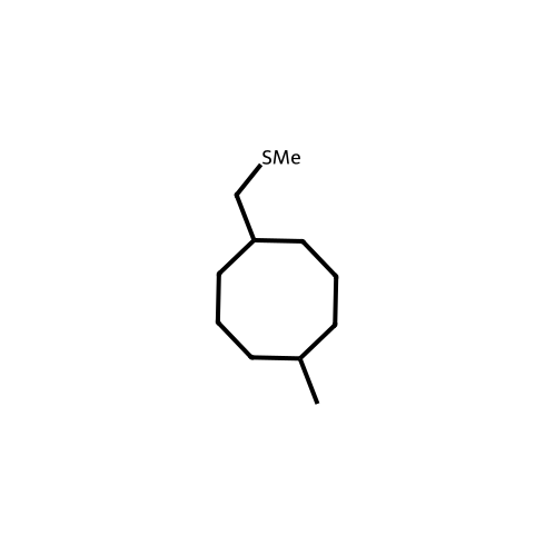 CSCC1CCCC(C)CCC1